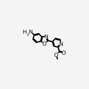 COC(=O)c1cc(-c2nc3cc(N)ccc3o2)ccn1